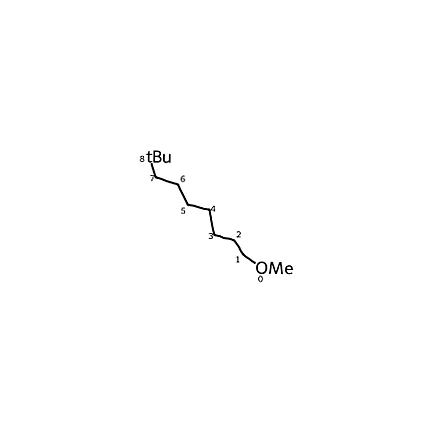 COCCCCCCCC(C)(C)C